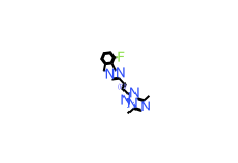 Cc1ncc(C)n2nc(/C=C/c3cn4c(n3)-c3c(F)cccc3C4)nc12